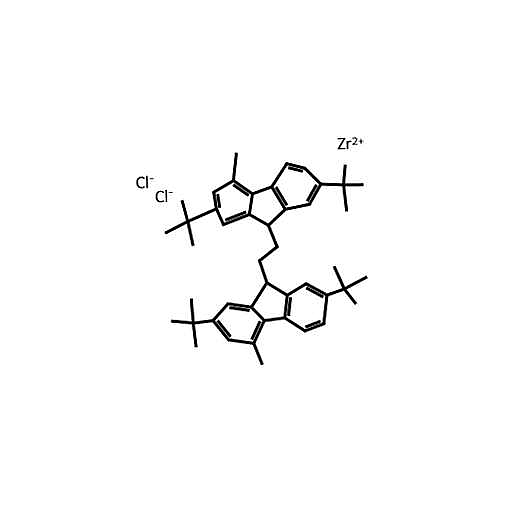 Cc1cc(C(C)(C)C)cc2c1-c1ccc(C(C)(C)C)cc1C2CCC1c2cc(C(C)(C)C)ccc2-c2c(C)cc(C(C)(C)C)cc21.[Cl-].[Cl-].[Zr+2]